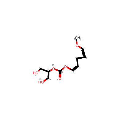 CO/C=C\C/C=C\OC(=O)OC(CO)CO